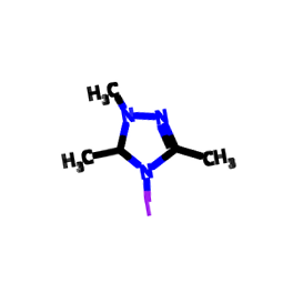 CC1=NN(C)C(C)N1I